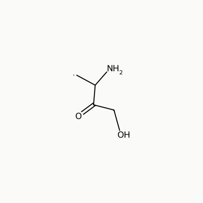 [CH2]C(N)C(=O)CO